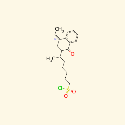 C/C=C1/CC(C(C)CCCCCS(=O)(=O)Cl)C(=O)c2ccccc21